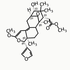 COC(=O)C[C@H]1C(C)(C)[C@@H](O)[C@@H]2CC3=C4C=C(OC)O[C@@H](c5ccoc5)[C@]4(C)CCC3[C@@]1(C)C2=O